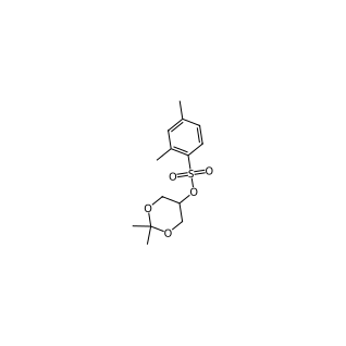 Cc1ccc(S(=O)(=O)OC2COC(C)(C)OC2)c(C)c1